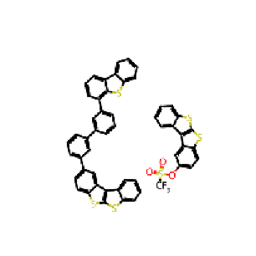 O=S(=O)(Oc1ccc2sc3sc4ccccc4c3c2c1)C(F)(F)F.c1cc(-c2cccc(-c3cccc4c3sc3ccccc34)c2)cc(-c2ccc3sc4sc5ccccc5c4c3c2)c1